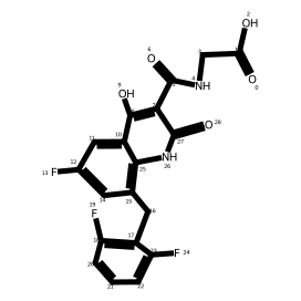 O=C(O)CNC(=O)c1c(O)c2cc(F)cc(Cc3c(F)cccc3F)c2[nH]c1=O